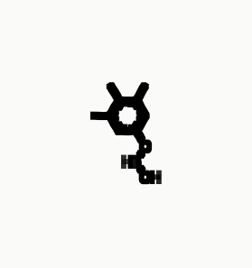 Cc1cc(OBO)cc(C)c1C